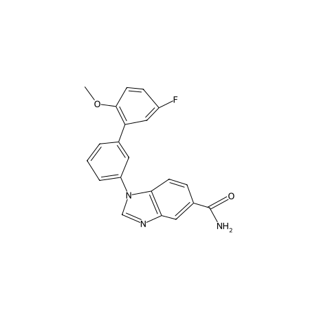 COc1ccc(F)cc1-c1cccc(-n2cnc3cc(C(N)=O)ccc32)c1